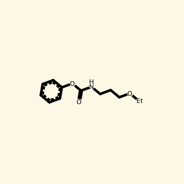 CCOCCCNC(=O)Oc1ccccc1